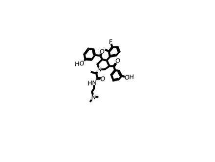 Cc1c(F)cccc1C1C(C(=O)c2cccc(O)c2)CN(C(C)C(=O)NCCN(C)C)CC1C(=O)c1cccc(O)c1